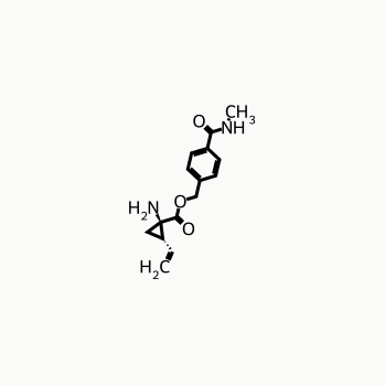 C=C[C@@H]1C[C@]1(N)C(=O)OCc1ccc(C(=O)NC)cc1